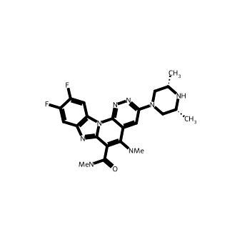 CNC(=O)c1c(NC)c2cc(N3C[C@@H](C)N[C@@H](C)C3)nnc2n2c1nc1cc(F)c(F)cc12